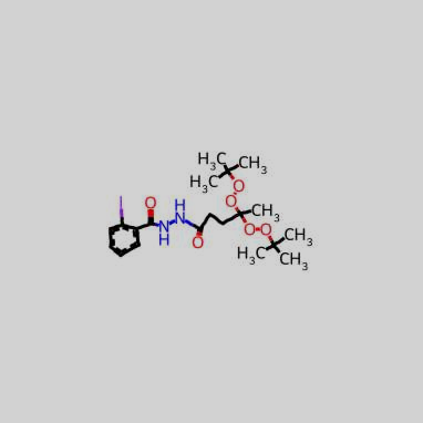 CC(C)(C)OOC(C)(CCC(=O)NNC(=O)c1ccccc1I)OOC(C)(C)C